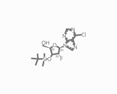 CC(C)(C)[Si](C)(C)OC1[C@@H](F)[C@H](n2cnc3c(Cl)ncnc32)O[C@@H]1CO